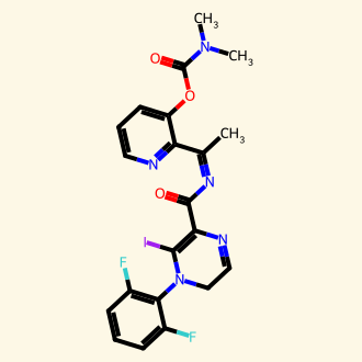 CC(=NC(=O)C1=C(I)N(c2c(F)cccc2F)CC=N1)c1ncccc1OC(=O)N(C)C